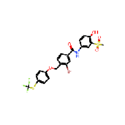 CS(=O)(=O)c1cc(NC(=O)c2ccc(COc3ccc(SC(F)(F)F)cc3)c(Br)c2)ccc1O